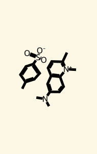 Cc1ccc(S(=O)(=O)[O-])cc1.Cc1ccc2cc(N(C)C)ccc2[n+]1C